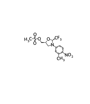 Cc1cc(N2C[C@@H](COS(C)(=O)=O)O[C@H]2C(F)(F)F)ccc1[N+](=O)[O-]